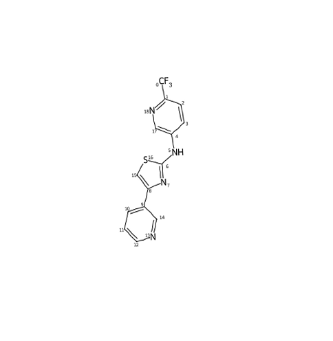 FC(F)(F)c1ccc(Nc2nc(-c3cccnc3)cs2)cn1